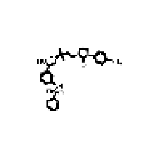 CC(C)(CCN1CCN(c2ccc(N)cc2)C1=O)NCC(O)c1cccc(NS(=O)(=O)c2ccccc2)c1